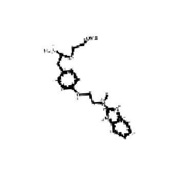 COCCOC(Cc1ccc(OCCN(C)c2nc3ccccc3o2)cc1)C(=O)O